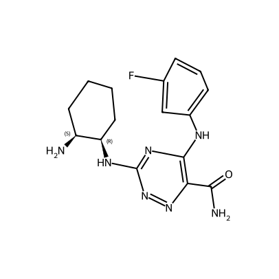 NC(=O)c1nnc(N[C@@H]2CCCC[C@@H]2N)nc1Nc1cccc(F)c1